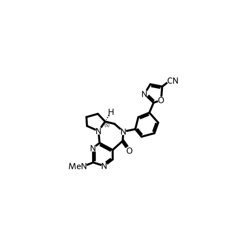 CNc1ncc2c(n1)N1CCC[C@H]1CN(c1cccc(-c3ncc(C#N)o3)c1)C2=O